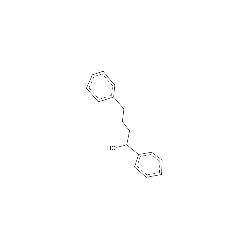 OC(CCCc1ccccc1)c1ccccc1